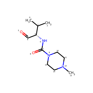 CC(C)[C@@H](C=O)NC(=O)N1CCN(C)CC1